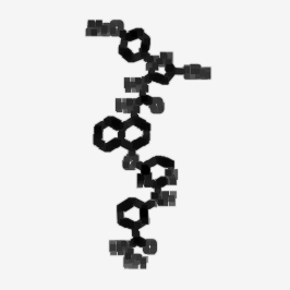 CCCNC(=O)c1cccc(Nc2nccc(Oc3ccc(NC(=O)Nc4cc(C(C)(C)C)nn4-c4ccc(OC)cc4)c4ccccc34)n2)c1